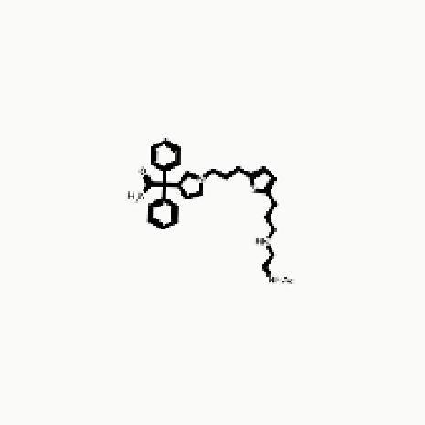 CC(=O)NCCNCCCc1ccc(CCCN2CCC(C(C(N)=O)(c3ccccc3)c3ccccc3)C2)s1